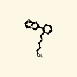 CCCCCCC1=C(c2cn3ccsc3n2)CCC=C1